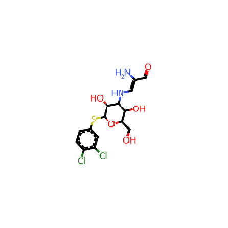 N/C(C=O)=C\NC1C(O)C(CO)OC(Sc2ccc(Cl)c(Cl)c2)C1O